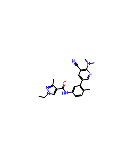 CCn1cc(C(=O)Nc2ccc(C)c(-c3cnc(N(C)C)c(C#N)c3)c2)c(C)n1